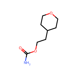 NC(=O)OCCC1CCOCC1